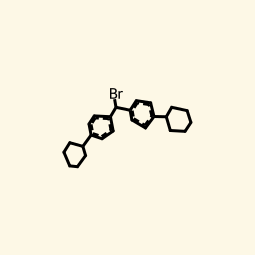 BrC(c1ccc(C2CCCCC2)cc1)c1ccc(C2CCCCC2)cc1